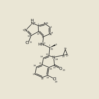 C[C@H](Nc1ncnc2[nH]nc(Cl)c12)c1cc2cccc(Cl)c2c(=O)n1C1CC1